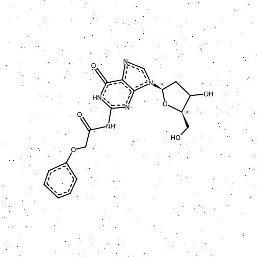 O=C(COc1ccccc1)Nc1nc2c(ncn2[C@H]2CC(O)[C@@H](CO)O2)c(=O)[nH]1